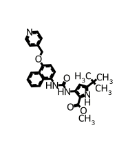 COC(=O)c1[nH]c(C(C)(C)C)cc1NC(=O)Nc1ccc(OCc2ccncc2)c2ccccc12